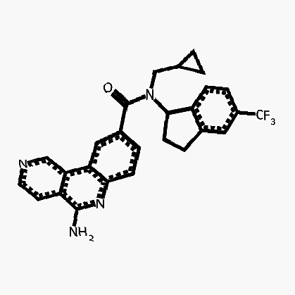 Nc1nc2ccc(C(=O)N(CC3CC3)C3CCc4cc(C(F)(F)F)ccc43)cc2c2cnccc12